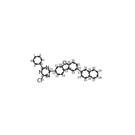 Clc1nc(-c2ccccc2)nc(-c2ccc3c(c2)oc2ccc(-c4ccc5ccccc5c4)cc23)n1